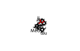 CC[Si](CC)(c1cc(C)cc(C(C)(C)C)c1OC)[C]1([Sc]([CH2]c2ccccc2N(C)C)[CH2]c2ccccc2N(C)C)C(C)=CC(C)=C1C